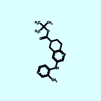 Cc1cnccc1Nc1cnc2c(c1)CN(C(=O)OC(C)(C)C)CC2